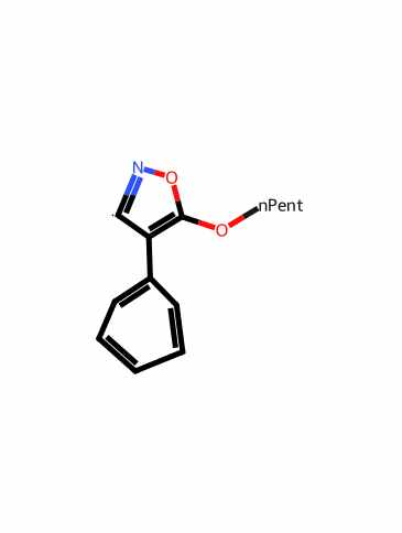 CCCCCOc1on[c]c1-c1ccccc1